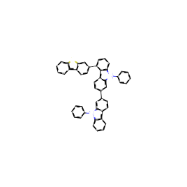 c1ccc(-n2c3ccccc3c3ccc(-c4ccc5c6c(-c7ccc8c(c7)sc7ccccc78)cccc6n(-c6ccccc6)c5c4)cc32)cc1